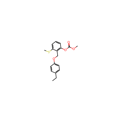 CCc1ccc(OCc2c(OC(=O)OC)cccc2SC)cc1